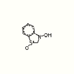 [O-][S+]1CN(O)c2ccccc21